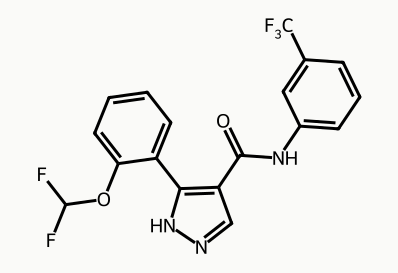 O=C(Nc1cccc(C(F)(F)F)c1)c1cn[nH]c1-c1ccccc1OC(F)F